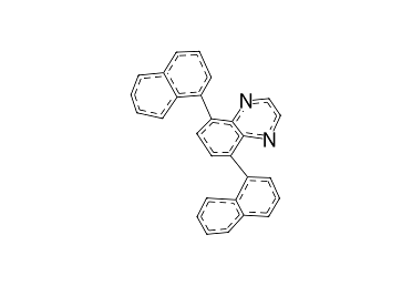 c1ccc2c(-c3ccc(-c4cccc5ccccc45)c4nccnc34)cccc2c1